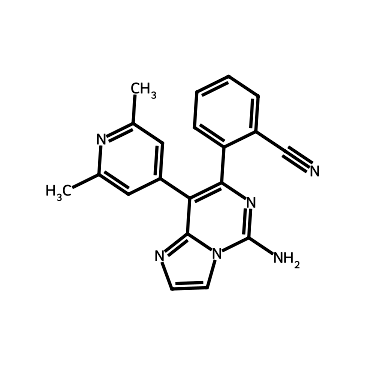 Cc1cc(-c2c(-c3ccccc3C#N)nc(N)n3ccnc23)cc(C)n1